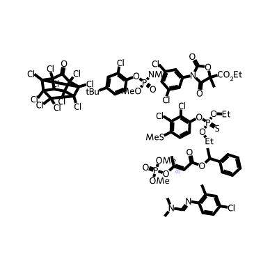 CCOC(=O)C1(C)OC(=O)N(c2cc(Cl)cc(Cl)c2)C1=O.CCOP(=S)(OCC)Oc1ccc(SC)c(Cl)c1Cl.CNP(=O)(OC)Oc1ccc(C(C)(C)C)cc1Cl.COP(=O)(OC)O/C(C)=C/C(=O)OC(C)c1ccccc1.Cc1cc(Cl)ccc1N=CN(C)C.O=C1C2(Cl)C3(Cl)C4(Cl)C(Cl)(Cl)C5(Cl)C3(Cl)C1(Cl)C5(Cl)C24Cl